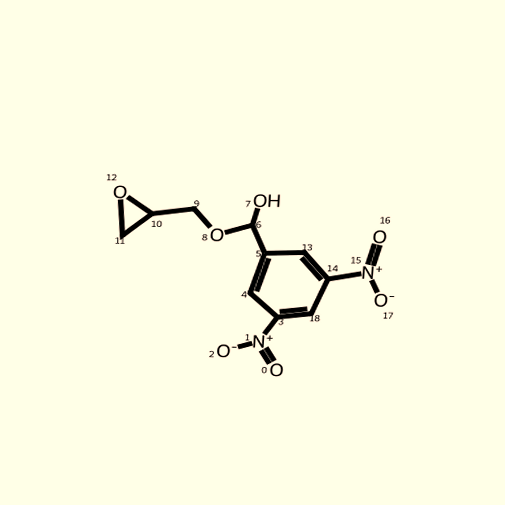 O=[N+]([O-])c1cc(C(O)OCC2CO2)cc([N+](=O)[O-])c1